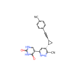 N#Cc1ccc(C#C[C@H]2C[C@@H]2c2cc(-c3c[nH]c(=O)[nH]c3=O)nnc2C#N)cc1